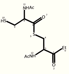 CCC(=O)C(CSC(=O)C(CS)NC(C)=O)NC(C)=O